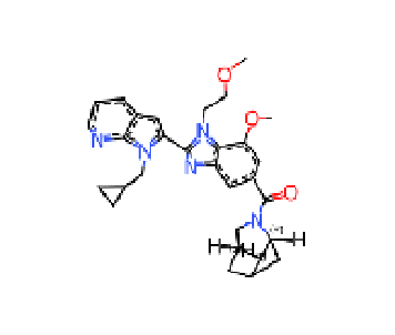 COCCn1c(-c2cc3cccnc3n2CC2CC2)nc2cc(C(=O)N3C[C@H]4CC5C[C@@H]3[C@H]54)cc(OC)c21